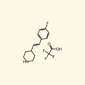 Fc1ccc(/C=C/C2CCNCC2)cc1.O=C(O)C(F)(F)F